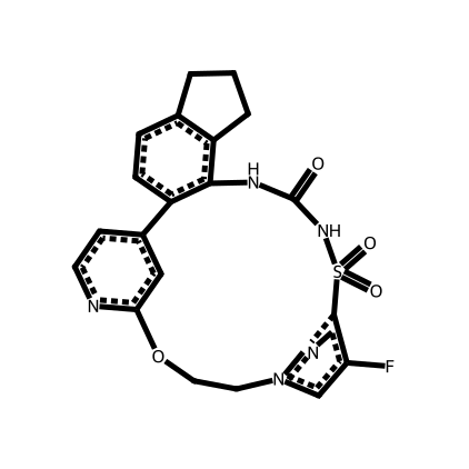 O=C1Nc2c(ccc3c2CCC3)-c2ccnc(c2)OCCn2cc(F)c(n2)S(=O)(=O)N1